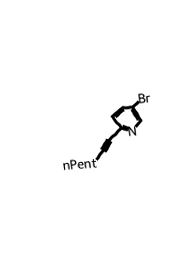 CCCCCC#Cc1ccc(Br)cn1